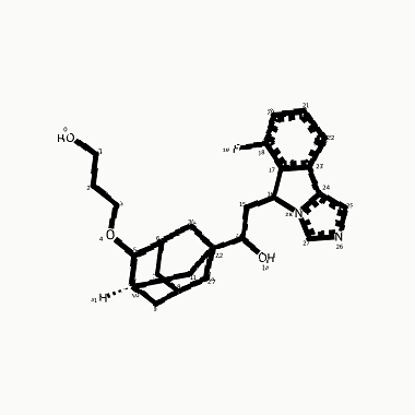 OCCCOC1C2CC3C[C@@H]1CC(C(O)CC1c4c(F)cccc4-c4cncn41)(C3)C2